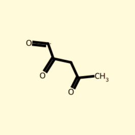 CC(=O)CC(=O)[C]=O